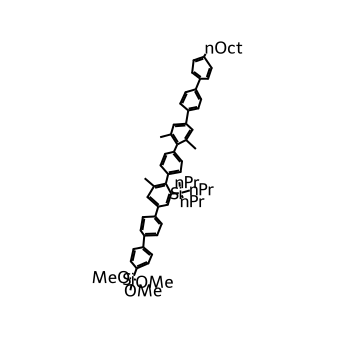 CCCCCCCCc1ccc(-c2ccc(-c3cc(C)c(-c4ccc(-c5c(C)cc(-c6ccc(-c7ccc([Si](OC)(OC)OC)cc7)cc6)cc5[Si](CCC)(CCC)CCC)cc4)c(C)c3)cc2)cc1